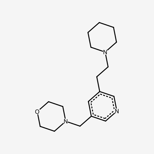 c1ncc(CN2CCOCC2)cc1CCN1CCCCC1